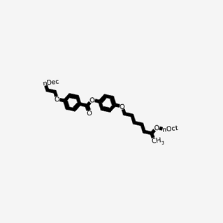 CCCCCCCCCCCCOc1ccc(C(=O)Oc2ccc(OCCCCCC(C)OCCCCCCCC)cc2)cc1